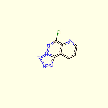 Clc1nn2nnnc2c2cccnc12